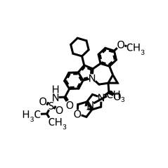 COc1ccc2c(c1)C1CC1(C(=O)N1CC34COCC3(CN(C)C4)C1)Cn1c-2c(C2CCCCC2)c2ccc(C(=O)NS(=O)(=O)C(C)C)cc21